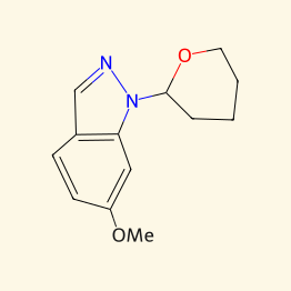 COc1ccc2cnn(C3CCCCO3)c2c1